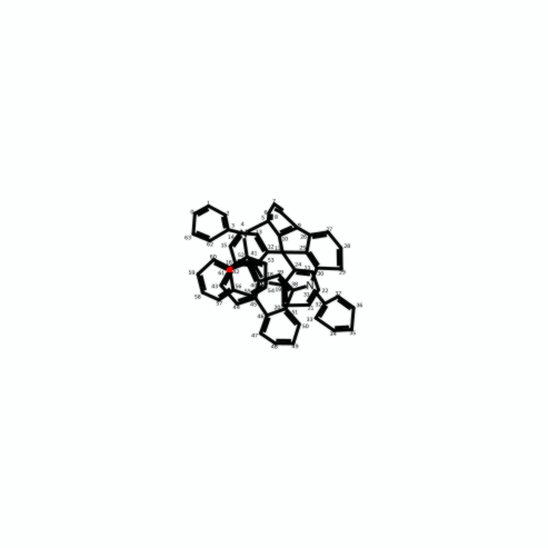 c1ccc(N(c2cccc3c2C2(c4ccccc4Oc4ccccc42)c2c-3cccc2N(c2ccccc2)c2cc3ccccc3c3ccccc23)c2cccc3ccccc23)cc1